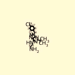 CC(C)c1nc(NCCN)c2nnn(Cc3ccc(Cl)cc3)c2n1